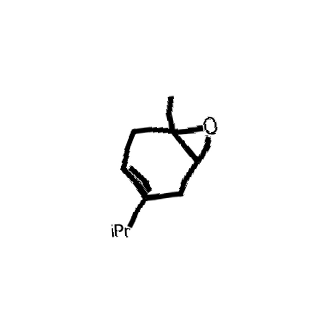 CC(C)C1=CCC2(C)OC2C1